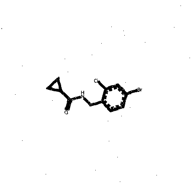 O=C(NCc1ccc(Br)cc1Cl)C1CC1